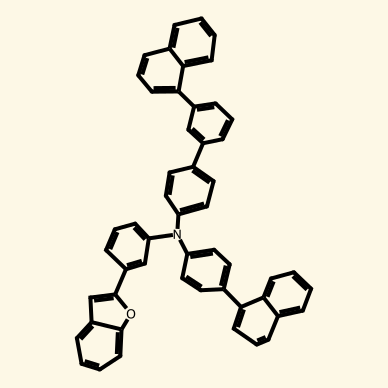 c1cc(-c2ccc(N(c3ccc(-c4cccc5ccccc45)cc3)c3cccc(-c4cc5ccccc5o4)c3)cc2)cc(-c2cccc3ccccc23)c1